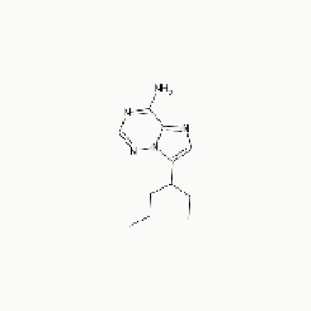 CCCC(CC)c1cnc2c(N)ncnn12